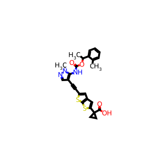 Cc1ccccc1C(C)OC(=O)Nc1c(C#Cc2cc3cc(C4(C(=O)O)CC4)sc3s2)cnn1C